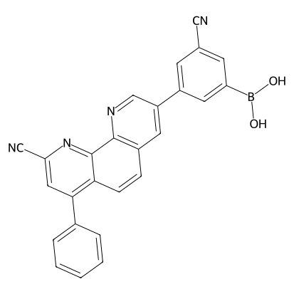 N#Cc1cc(B(O)O)cc(-c2cnc3c(ccc4c(-c5ccccc5)cc(C#N)nc43)c2)c1